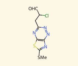 CSc1nc2nnc(CC(Cl)C=O)nc2s1